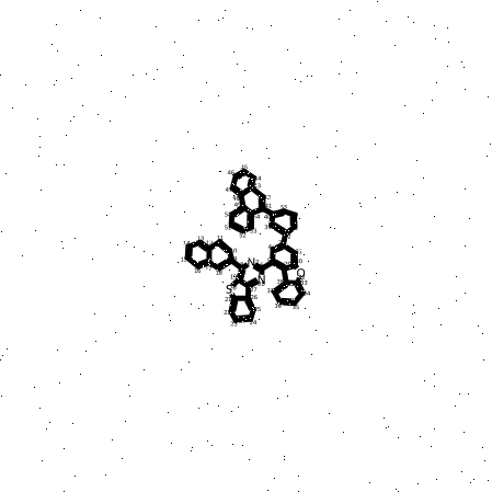 c1cc(-c2cc(-c3nc(-c4ccc5ccccc5c4)c4sc5ccccc5c4n3)c3c(c2)oc2ccccc23)cc(-c2cc3ccccc3c3ccccc23)c1